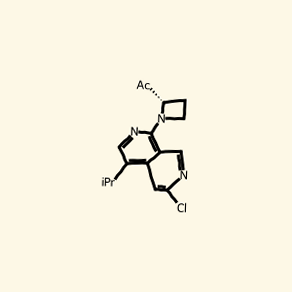 CC(=O)[C@@H]1CCN1c1ncc(C(C)C)c2cc(Cl)ncc12